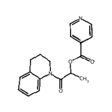 CC(OC(=O)c1ccncc1)C(=O)N1CCCc2ccccc21